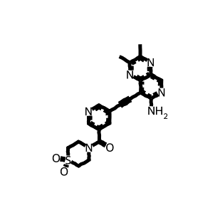 Cc1nc2cnc(N)c(C#Cc3cncc(C(=O)N4CCS(=O)(=O)CC4)c3)c2nc1C